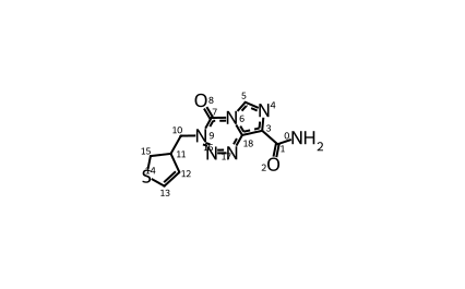 NC(=O)c1ncn2c(=O)n(CC3C=CSC3)nnc12